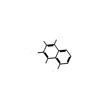 Oc1c(O)c(O)c2c(O)cccc2c1O